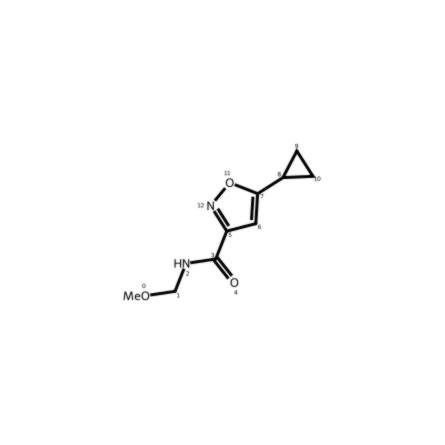 COCNC(=O)c1cc(C2CC2)on1